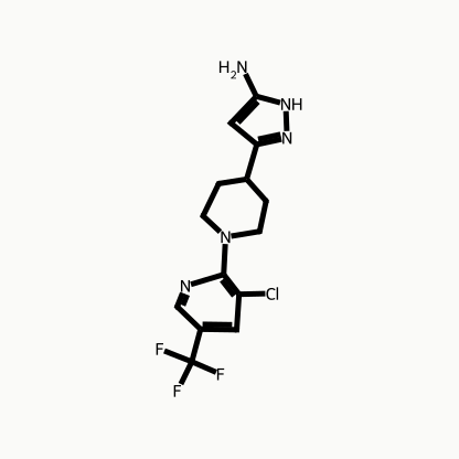 Nc1cc(C2CCN(c3ncc(C(F)(F)F)cc3Cl)CC2)n[nH]1